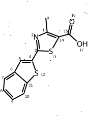 Cc1nc(-c2cc3ccccc3s2)sc1C(=O)O